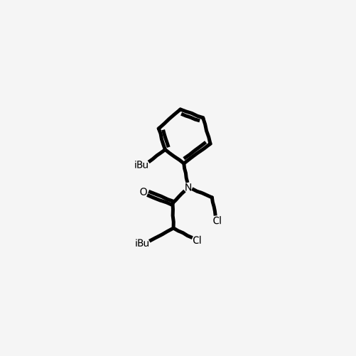 CCC(C)c1ccccc1N(CCl)C(=O)C(Cl)C(C)CC